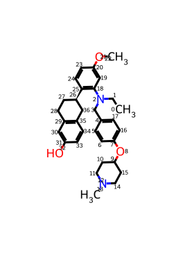 CCN(Cc1ccc(OC2CCN(C)CC2)cc1)c1cc(OC)ccc1[C@@H]1CCc2cc(O)ccc2C1